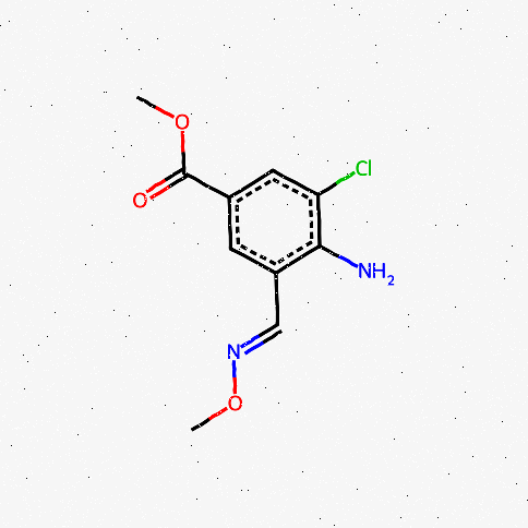 CO/N=C/c1cc(C(=O)OC)cc(Cl)c1N